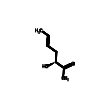 CC=CC[C@@H](O)C(C)=O